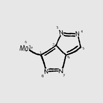 [Mo+3][C]1=C2N=NC=C2N=N1